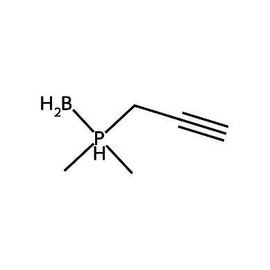 B[PH](C)(C)CC#C